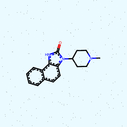 CN1CCC(n2c(=O)[nH]c3c4ccccc4ccc32)CC1